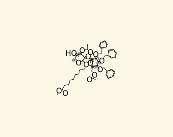 COC(=O)CCCCCCCCO[C@H]1O[C@H](C)[C@@H](O)[C@H](OC(C)=O)[C@H]1O[C@H]1O[C@H](COC(C)=O)[C@@H](OCc2ccccc2)[C@H](OCc2ccccc2)[C@H]1OCc1ccccc1